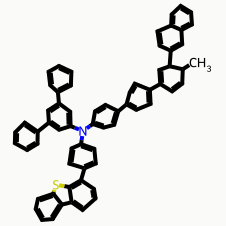 CC1C=CC(c2ccc(-c3ccc(N(c4ccc(-c5cccc6c5sc5ccccc56)cc4)c4cc(-c5ccccc5)cc(-c5ccccc5)c4)cc3)cc2)=CC1c1ccc2ccccc2c1